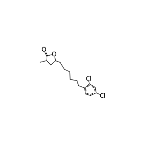 CC1CC(CCCCCCc2ccc(Cl)cc2Cl)OC1=O